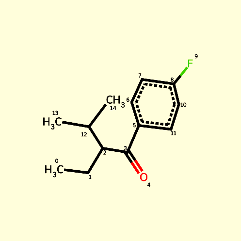 CCC(C(=O)c1ccc(F)cc1)C(C)C